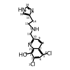 Oc1c(Cl)cc(Cl)c2ccc(CNCCc3c[nH]cn3)nc12